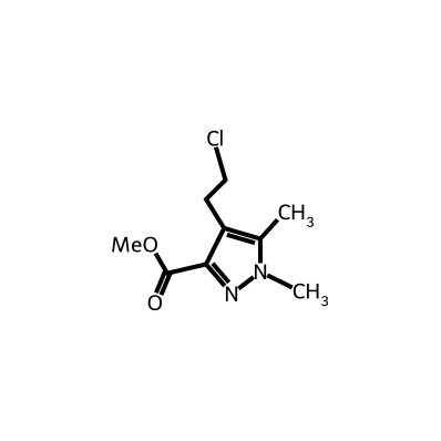 COC(=O)c1nn(C)c(C)c1CCCl